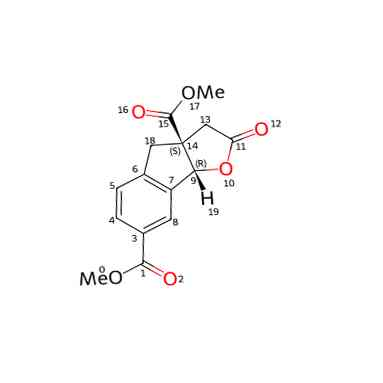 COC(=O)c1ccc2c(c1)[C@H]1OC(=O)C[C@@]1(C(=O)OC)C2